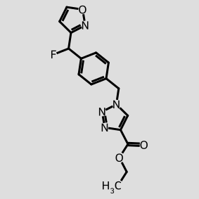 CCOC(=O)c1cn(Cc2ccc(C(F)c3ccon3)cc2)nn1